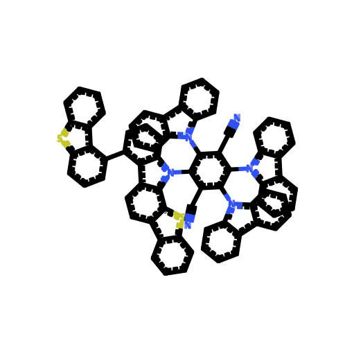 N#Cc1c(-n2c3ccccc3c3ccccc32)c(-n2c3ccccc3c3ccccc32)c(C#N)c(-n2c3cccc(-c4cccc5sc6ccccc6c45)c3c3ccc4c5ccccc5sc4c32)c1-n1c2ccccc2c2ccccc21